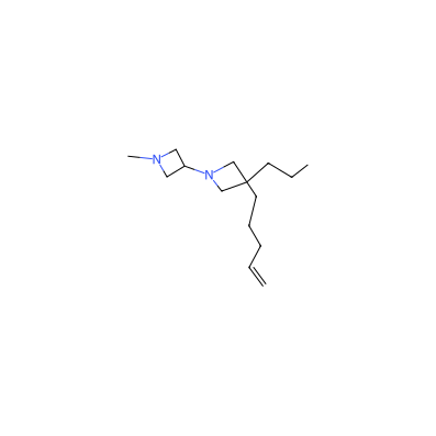 C=CCCCC1(CCC)CN(C2CN(C)C2)C1